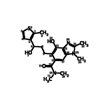 Cc1sccc1C(O)CCc1c(C(=O)N(C)C)cc2c(nc(C)n2C)c1O